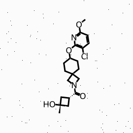 COc1ccc(Cl)c(OC2CCC3(CC2)CN(C(=O)[C@H]2C[C@@](C)(O)C2)C3)n1